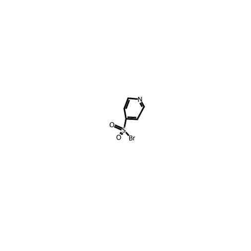 O=S(=O)(Br)c1ccncc1